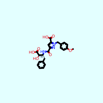 COc1ccc(Cn2nc(C(=O)N[C@H](Cc3ccccc3)[C@@H](O)C(=O)O)cc2C(=O)O)cc1